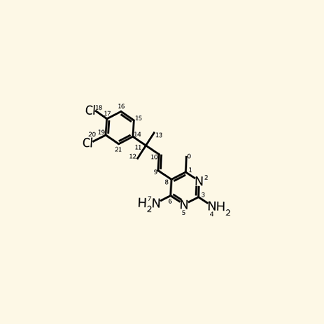 Cc1nc(N)nc(N)c1C=CC(C)(C)c1ccc(Cl)c(Cl)c1